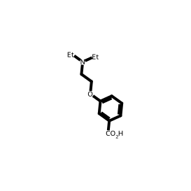 CCN(CC)CCOc1cccc(C(=O)O)c1